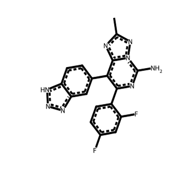 Cc1nc2c(-c3ccc4[nH]nnc4c3)c(-c3ccc(F)cc3F)nc(N)n2n1